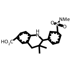 CNS(=O)(=O)c1cccc(C2Nc3ccc(C(=O)O)cc3CC2(C)C)c1